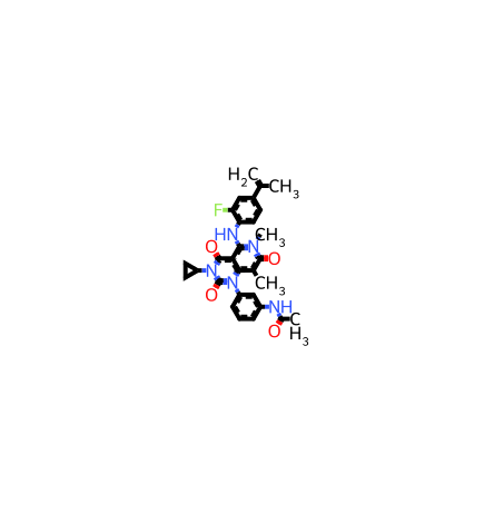 C=C(C)c1ccc(Nc2c3c(=O)n(C4CC4)c(=O)n(-c4cccc(NC(C)=O)c4)c3c(C)c(=O)n2C)c(F)c1